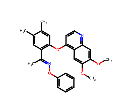 COc1cc2nccc(Oc3cc(C)c(C)cc3C(C)=NOc3ccccc3)c2cc1OC